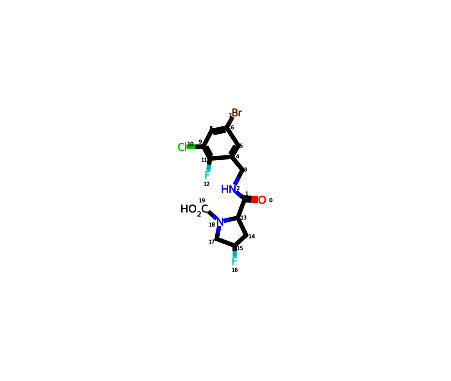 O=C(NCc1cc(Br)cc(Cl)c1F)C1CC(F)CN1C(=O)O